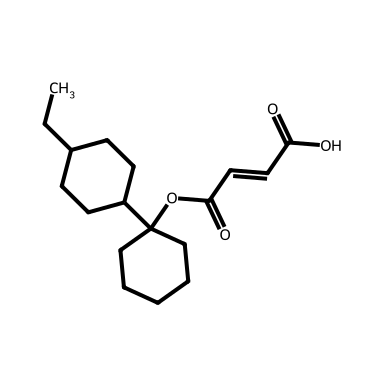 CCC1CCC(C2(OC(=O)/C=C/C(=O)O)CCCCC2)CC1